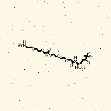 CCC(C)(C)C(=O)CCC(NC(=O)COCCOCCNC(=O)COCCOCCNC(C)C)C(=O)O